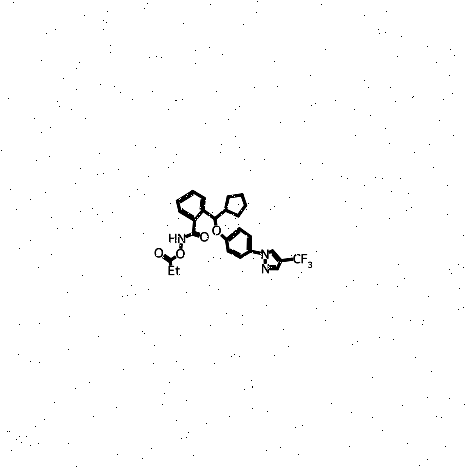 CCC(=O)ONC(=O)c1ccccc1C(Oc1ccc(-n2cc(C(F)(F)F)cn2)cc1)C1CCCC1